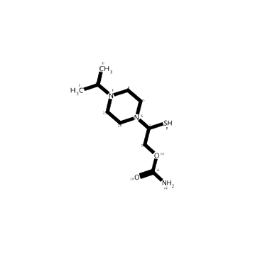 CC(C)N1CCN(C(S)COC(N)=O)CC1